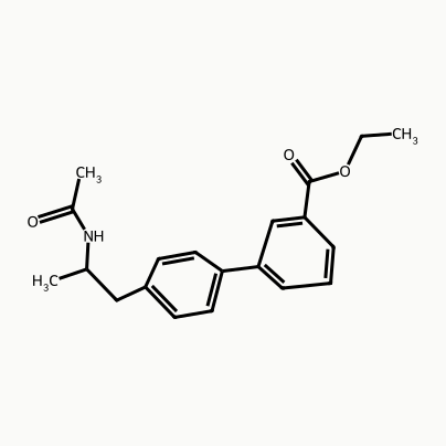 CCOC(=O)c1cccc(-c2ccc(CC(C)NC(C)=O)cc2)c1